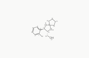 Cc1ccccc1[C@H]1OC2(CCCC2)O[C@@H]1CO